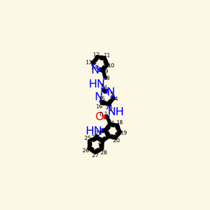 O=C(Nc1cnc(NCc2ccccn2)nc1)c1cccc2c1[nH]c1ccccc12